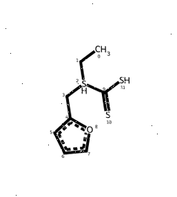 CC[SH](Cc1ccco1)C(=S)S